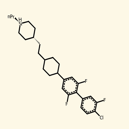 CCC[Si@H]1CC[C@H](CCC2CCC(c3cc(F)c(-c4ccc(Cl)c(F)c4)c(F)c3)CC2)CC1